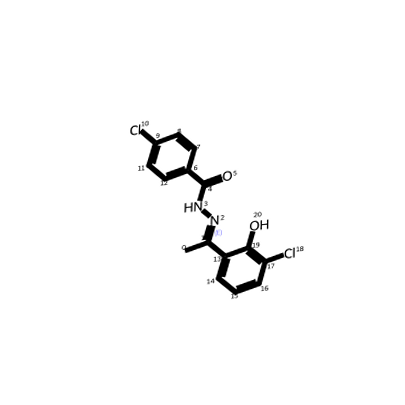 C/C(=N\NC(=O)c1ccc(Cl)cc1)c1cccc(Cl)c1O